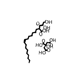 CCCCCCCC/C=C\CCCCCCC(C(=O)O)C(=O)C(O)CO.O=C(O)CC(O)(CC(=O)O)C(=O)O